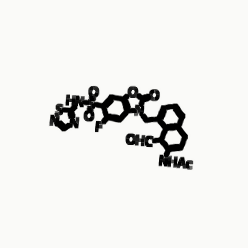 CC(=O)NC1=CCc2cccc(Cn3c(=O)oc4cc(S(=O)(=O)Nc5ncns5)c(F)cc43)c2C1C=O